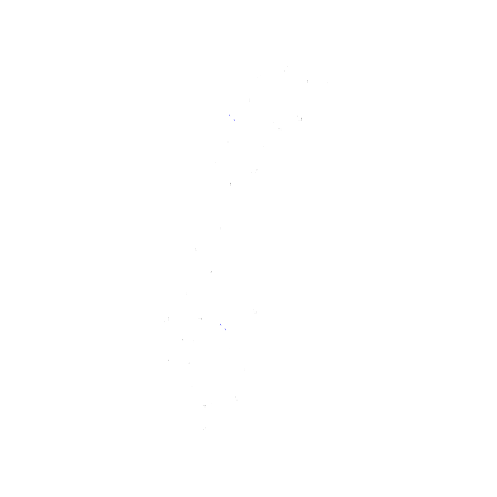 CCCC[N+]1=C(/C=C/C=C/C=C/C=C2/N(C)c3ccc(C)cc3C2(C)C)C(C)(C)c2cc(C)ccc21